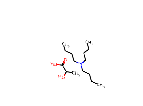 CC(O)C(=O)O.CCCCN(CCCC)CCCC